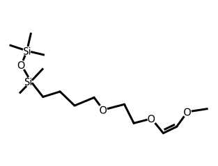 CO/C=C\OCCOCCCC[Si](C)(C)O[Si](C)(C)C